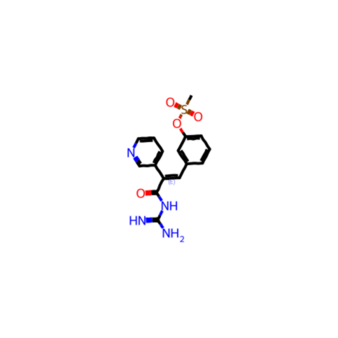 CS(=O)(=O)Oc1cccc(/C=C(/C(=O)NC(=N)N)c2cccnc2)c1